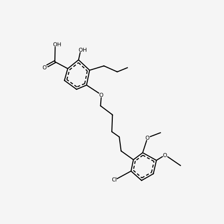 CCCc1c(OCCCCCc2c(Cl)ccc(OC)c2OC)ccc(C(=O)O)c1O